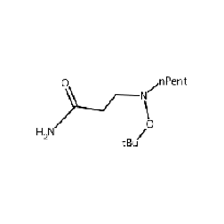 CCCCCN(CCC(N)=O)OC(C)(C)C